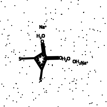 O.O.O.O=c1c([S-])c([S-])c1=O.[Na+].[Na+]